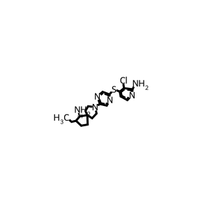 CCC1CCC2(CCN(c3cnc(Sc4ccnc(N)c4Cl)cn3)CC2)[C@@H]1N